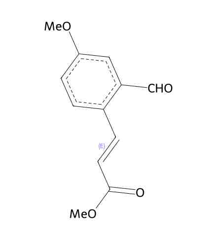 COC(=O)/C=C/c1ccc(OC)cc1C=O